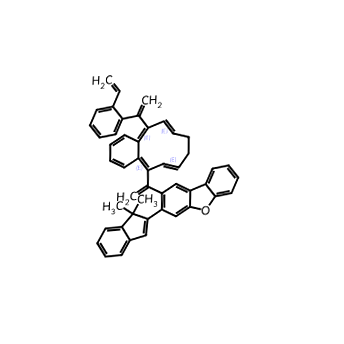 C=Cc1ccccc1C(=C)C1=c2\cccc\c2=C(C(=C)c2cc3c(cc2C2=Cc4ccccc4C2(C)C)oc2ccccc23)\C=C\CC\C=C\1